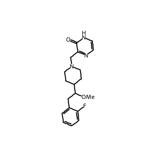 COC(Cc1ccccc1F)C1CCN(Cc2ncc[nH]c2=O)CC1